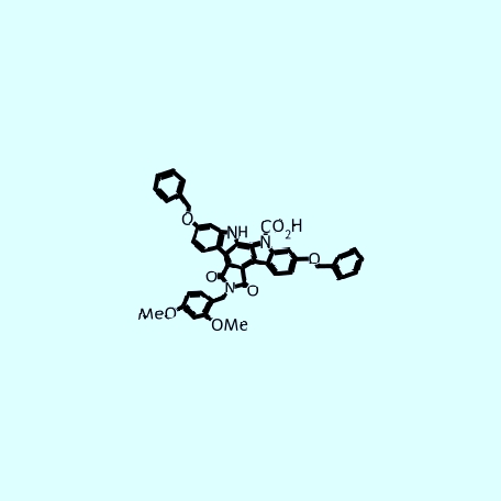 COc1ccc(CN2C(=O)c3c(c4c5ccc(OCc6ccccc6)cc5n(C(=O)O)c4c4[nH]c5cc(OCc6ccccc6)ccc5c34)C2=O)c(OC)c1